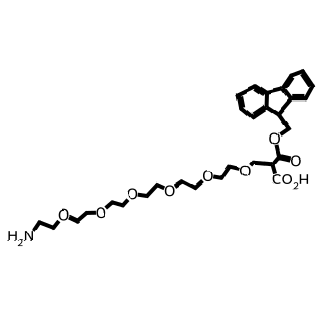 NCCOCCOCCOCCOCCOCCOCC(C(=O)O)C(=O)OCC1c2ccccc2-c2ccccc21